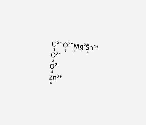 [Mg+2].[O-2].[O-2].[O-2].[O-2].[Sn+4].[Zn+2]